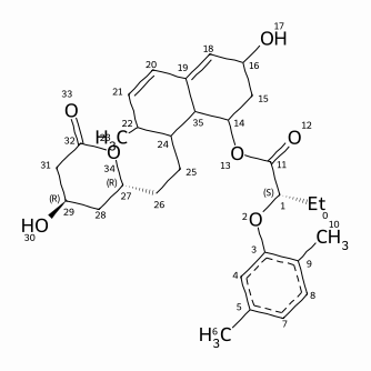 CC[C@H](Oc1cc(C)ccc1C)C(=O)OC1CC(O)C=C2C=CC(C)C(CC[C@@H]3C[C@@H](O)CC(=O)O3)C21